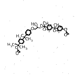 CCC(C)(OC1CO1)c1ccc(C(C)(C)c2ccc(OCC(O)COC(C)(C)c3ccc(C(C)(C)c4ccc(OC5CO5)cc4)cc3)cc2)cc1